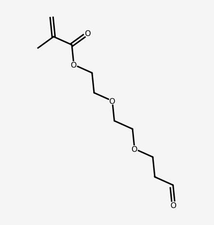 C=C(C)C(=O)OCCOCCOCCC=O